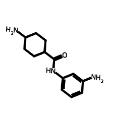 Nc1cccc(NC(=O)C2CCC(N)CC2)c1